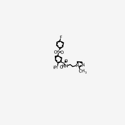 Cc1nccn1CCNS(=O)(=O)c1cc(S(=O)(=O)c2ccc(F)cc2)ccc1C(C)C